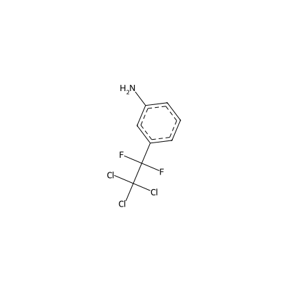 Nc1cccc(C(F)(F)C(Cl)(Cl)Cl)c1